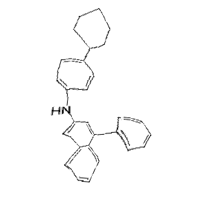 c1ccc(-c2cc(Nc3ccc(C4CCCCC4)cc3)cc3ccccc23)cc1